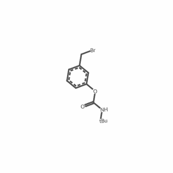 CC(C)(C)NC(=O)Oc1cccc(CBr)c1